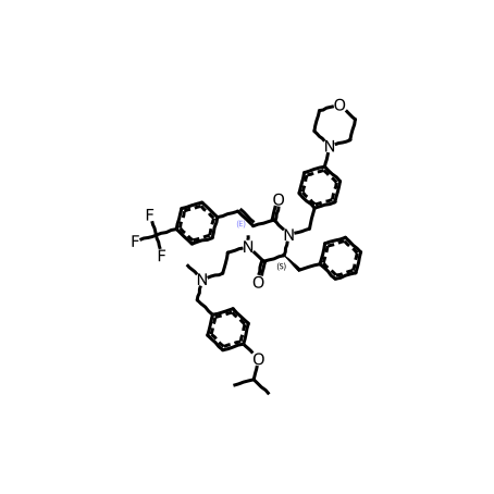 CC(C)Oc1ccc(CN(C)CCN(C)C(=O)[C@H](Cc2ccccc2)N(Cc2ccc(N3CCOCC3)cc2)C(=O)/C=C/c2ccc(C(F)(F)F)cc2)cc1